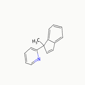 CC1(c2ccccn2)C=Cc2ccccc21